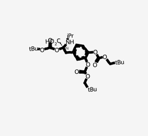 CC(C)N[C@@](Cc1ccc(OC(=O)OCC(C)(C)C)c(OC(=O)OCC(C)(C)C)c1)(OC(=O)OC(C)(C)C)C(=O)O